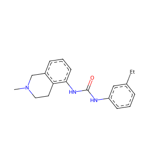 CCc1cccc(NC(=O)Nc2cccc3c2CCN(C)C3)c1